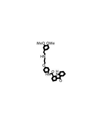 COc1ccc(CCNCCCOc2ccc(NC(=O)c3cccc4c(=O)c5ccccc5[nH]c34)cc2)cc1OC